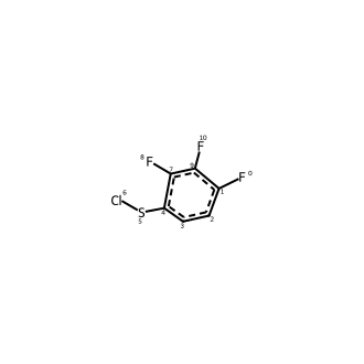 Fc1ccc(SCl)c(F)c1F